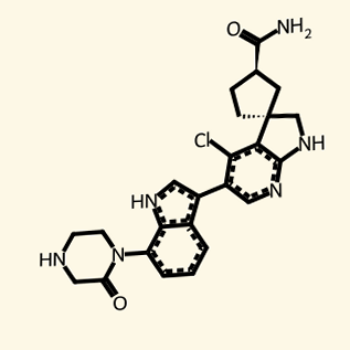 NC(=O)[C@@H]1CC[C@@]2(CNc3ncc(-c4c[nH]c5c(N6CCNCC6=O)cccc45)c(Cl)c32)C1